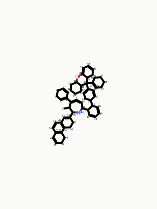 CC1C(C2=CCCC=C2)=C=CC(C2C=CC=CC2C2C=CC(C3(C4=CCCCC4)C4CC=CC=C4OC4CCCCC43)=CC2)NC1C1=Cc2ccc3c(c2CC1)CCC=C3